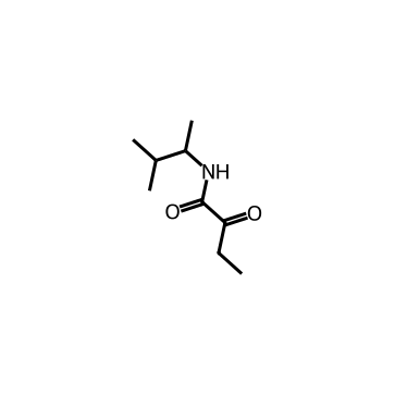 CCC(=O)C(=O)NC(C)C(C)C